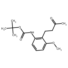 COc1cccc(NC(=O)OC(C)(C)C)c1CCC(C)=O